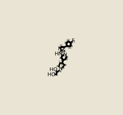 OC[C@@H](O)CN1CCC(c2ccnc(Nc3ncc(-c4ccc(F)cc4)s3)c2)CC1